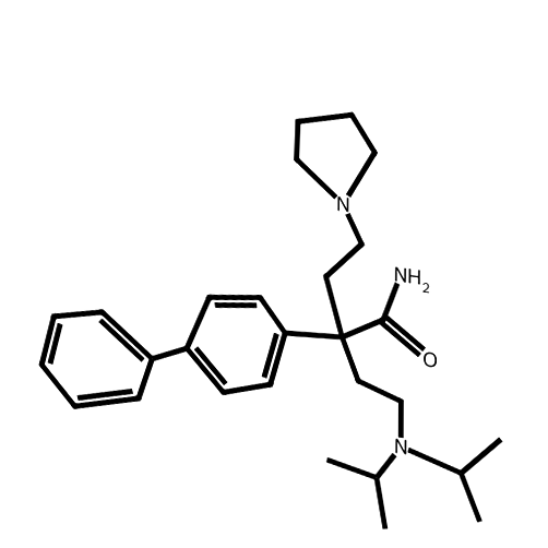 CC(C)N(CCC(CCN1CCCC1)(C(N)=O)c1ccc(-c2ccccc2)cc1)C(C)C